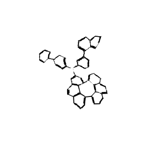 c1ccc(-c2ccc(N(c3cccc(-c4cccc5ccccc45)c3)c3cc4ccc5cccc6c7cccc8ccc9cccc(c(c3)c4c56)c9c87)cc2)cc1